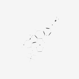 CC(C)c1nc2c(c3c1[C@@H](c1ccc(C(C)(C)C#N)cc1)OC31CCCC1)C(O[Si](C)(C)C(C)(C)C)CC(C)(C)C2